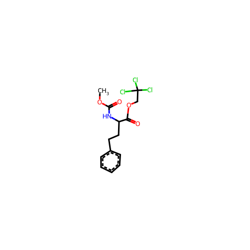 COC(=O)NC(CCc1ccccc1)C(=O)OCC(Cl)(Cl)Cl